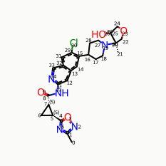 Cc1noc([C@H]2C[C@@H]2C(=O)Nc2cc3cc(C4CCN([C@]5(C)COC[C@@H]5O)CC4)c(Cl)cc3cn2)n1